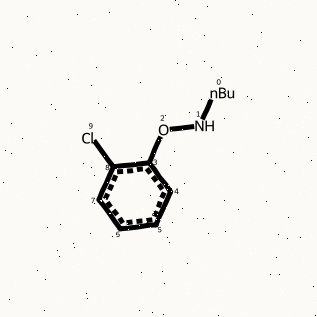 CCCCNOc1ccccc1Cl